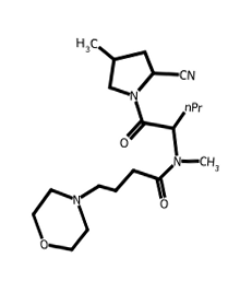 CCCC(C(=O)N1CC(C)CC1C#N)N(C)C(=O)CCCN1CCOCC1